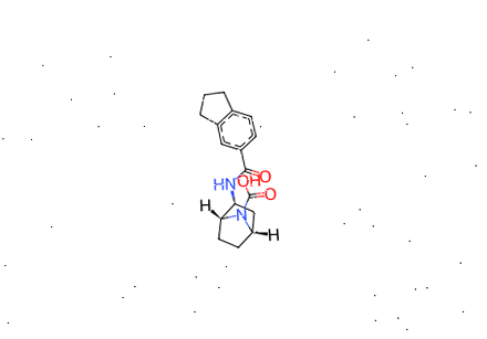 O=C(N[C@H]1C[C@@H]2CC[C@H]1N2C(=O)O)c1ccc2c(c1)CCC2